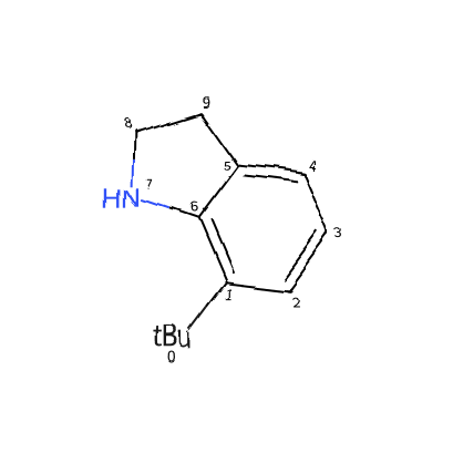 CC(C)(C)c1cccc2c1NCC2